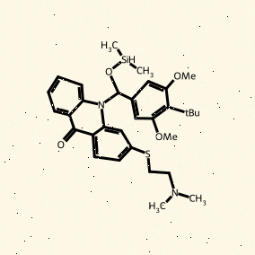 COc1cc(C(O[SiH](C)C)n2c3ccccc3c(=O)c3ccc(SCCN(C)C)cc32)cc(OC)c1C(C)(C)C